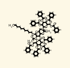 C=CCCCCCCCCOC(O)C(OC(C)=O)C(OC1OC(COC(=O)c2ccccc2)C(OC(=O)c2ccccc2)C(OC(=O)c2ccccc2)C1OC(=O)c1ccccc1)C(CCOC1OC(COC(=O)c2ccccc2)C(OC(=O)c2ccccc2)C(OC(=O)c2ccccc2)C1OC(=O)c1ccccc1)OC(C)=O